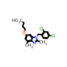 Cc1cc(OCCCC(=O)O)cc2c1nc(C)n2Cc1ccc(Cl)cc1Cl